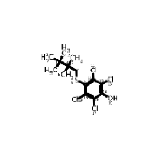 CC(C)(C)C(C)(C)CSc1c(Cl)c(Cl)c(O)c(Cl)c1Cl